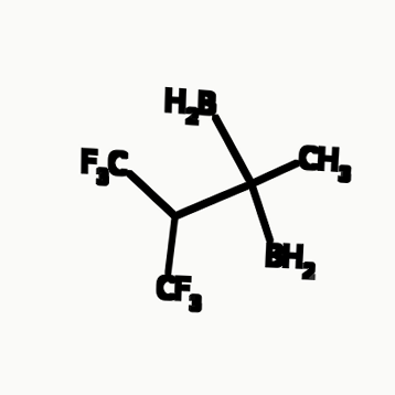 BC(B)(C)C(C(F)(F)F)C(F)(F)F